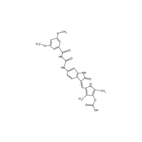 COc1cc(OC)cc(C(=O)NC(=O)Nc2ccc3c(c2)NC(=O)/C3=C\c2[nH]c(C)c(OC(=O)O)c2C)c1